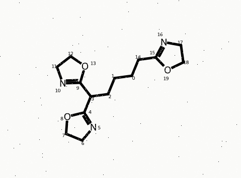 C(CCC(C1=NCCO1)C1=NCCO1)CC1=NCCO1